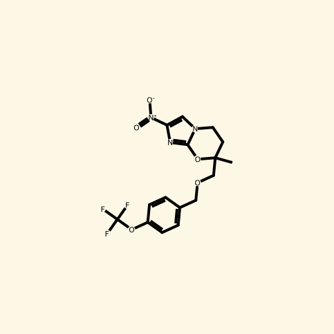 CC1(COCc2ccc(OC(F)(F)F)cc2)CCn2cc([N+](=O)[O-])nc2O1